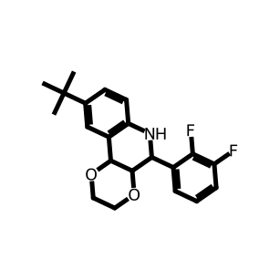 CC(C)(C)c1ccc2c(c1)C1OCCOC1C(c1cccc(F)c1F)N2